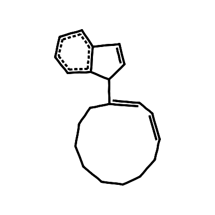 C1=CCCCCCCCCC(C2C=Cc3ccccc32)=C1